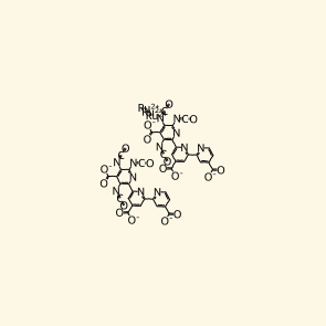 O=C=Nc1nc(-c2cc(C(=O)[O-])cc(-c3cc(C(=O)[O-])ccn3)n2)c(N=C=O)c(C(=O)[O-])c1N=C=O.O=C=Nc1nc(-c2cc(C(=O)[O-])cc(-c3cc(C(=O)[O-])ccn3)n2)c(N=C=O)c(C(=O)[O-])c1N=C=O.[Ru+2].[Ru+2].[Ru+2]